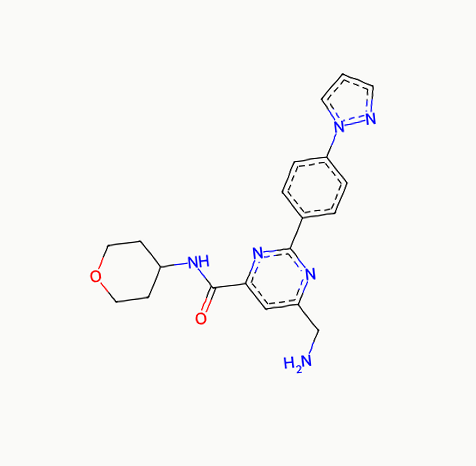 NCc1cc(C(=O)NC2CCOCC2)nc(-c2ccc(-n3cccn3)cc2)n1